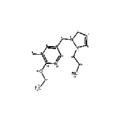 Cc1cc(CN2CC=CN2CCC#N)cnc1OCC(F)(F)F